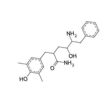 Cc1cc(CC(CC(O)C(N)Cc2ccccc2)C(N)=O)cc(C)c1O